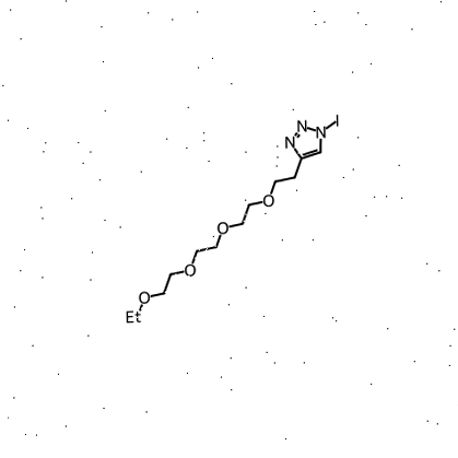 CCOCCOCCOCCOCCc1cn(I)nn1